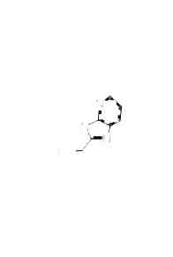 CCC1=Nc2cccnc2[N]1